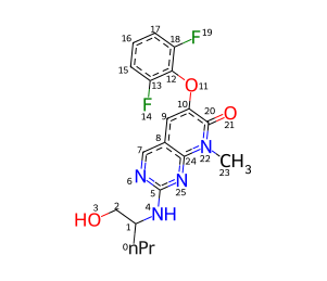 CCCC(CO)Nc1ncc2cc(Oc3c(F)cccc3F)c(=O)n(C)c2n1